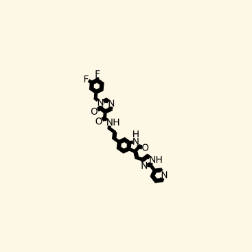 O=C1Nc2cc(C=CCNC(=O)c3cncn(Cc4ccc(F)c(F)c4)c3=O)ccc2C1=Cc1c[nH]c(-c2cccnc2)n1